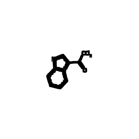 O=C(c1cnc2ccccn12)C(Cl)(Cl)Cl